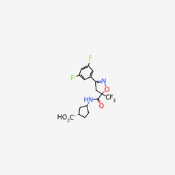 O=C(O)[C@H]1CCC(NC(=O)C2(C(F)(F)F)CC(c3cc(F)cc(F)c3)=NO2)C1